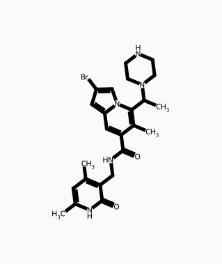 Cc1cc(C)c(CNC(=O)c2cc3cc(Br)cn3c(C(C)N3CCNCC3)c2C)c(=O)[nH]1